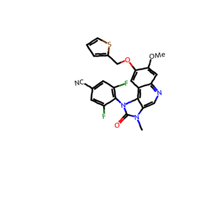 COc1cc2ncc3c(c2cc1OCc1cccs1)n(-c1c(F)cc(C#N)cc1F)c(=O)n3C